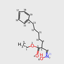 CCOC(=O)C(/C=N\O)CCCCCc1ccccc1